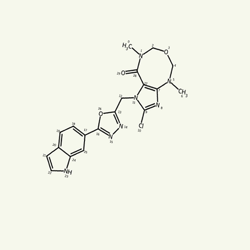 CN1COCN(C)c2nc(Cl)n(Cc3nnc(-c4ccc5cc[nH]c5c4)o3)c2C1=O